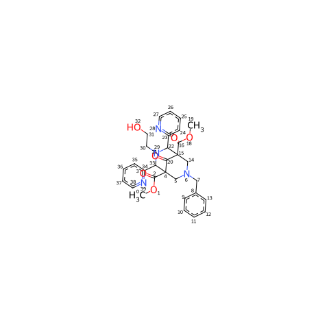 COC(=O)C12CN(Cc3ccccc3)CC(C(=O)OC)(C1=O)C(c1ccccn1)N(CCO)C2c1ccccn1